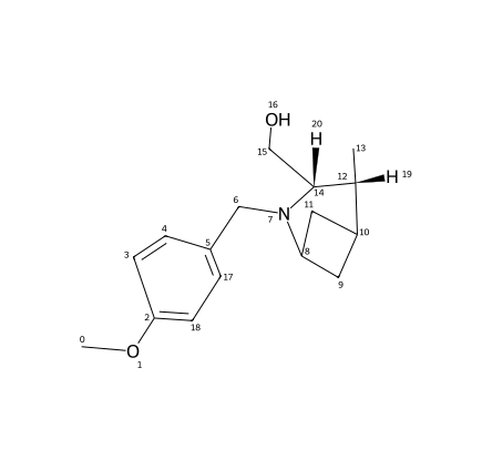 COc1ccc(CN2C3CC(C3)[C@@H](C)[C@H]2CO)cc1